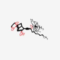 CCCCCCCC(C#CC1C(O)CC2C1CC21OCCO1)O[Si](C)(C)C(C)(C)C